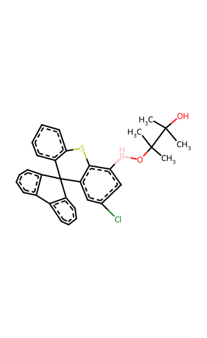 CC(C)(O)C(C)(C)OBc1cc(Cl)cc2c1Sc1ccccc1C21c2ccccc2-c2ccccc21